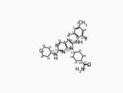 Cc1cc(F)c(Nc2nc3cnc(NC4CCOCC4)nc3n2[C@H]2CC[C@H](C(N)=O)CC2)c(F)c1